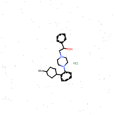 CC(C)(C)C1CCC(c2ccccc2N2CCN(CC(O)c3ccccc3)CC2)CC1.Cl